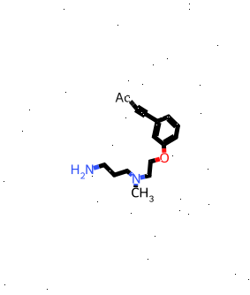 CC(=O)C#Cc1cccc(OCCN(C)CCCN)c1